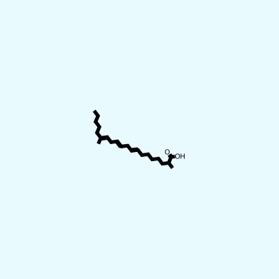 CCCCCC(C)=CCC=CCC=CCCCCCC(C)C(=O)O